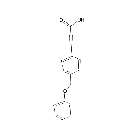 O=C(O)C#Cc1ccc(COc2ccccc2)cc1